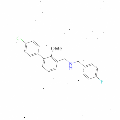 COc1c(CNCc2ccc(F)cc2)cccc1-c1ccc(Cl)cc1